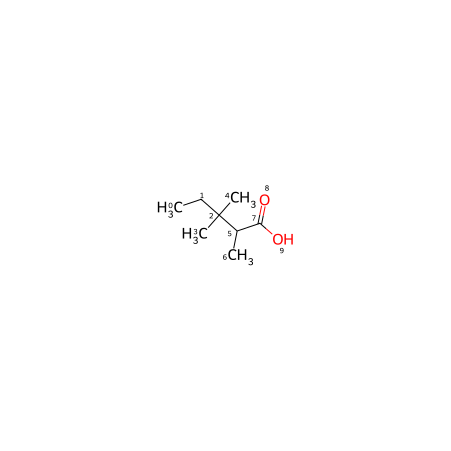 CCC(C)(C)C(C)C(=O)O